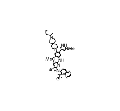 CN/C=C(\C=N)c1cc(Nc2ncc(Br)c(Nc3ccc4nccnc4c3P(C)(C)=O)n2)c(OC)cc1N1CCC2(CC1)CCN(C(C)CF)CC2